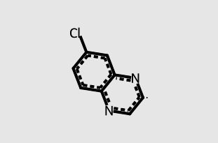 Clc1ccc2nc[c]nc2c1